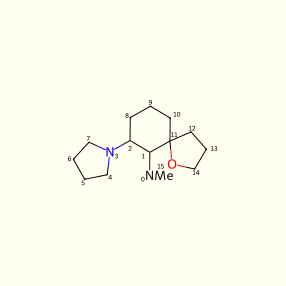 CNC1C(N2CCCC2)CCCC12CCCO2